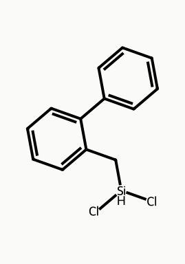 Cl[SiH](Cl)Cc1ccccc1-c1ccccc1